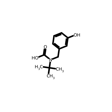 CC(C)(C)N(Cc1cccc(O)c1)C(=O)O